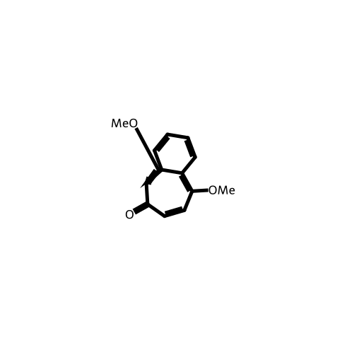 COC1=CC=C2C(=O)C=CC(OC)=C3C=CC=CC23C1